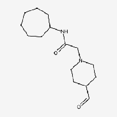 O=CC1CCN(CC(=O)NC2CCCCCC2)CC1